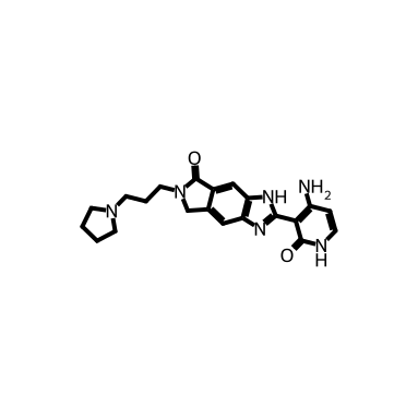 Nc1cc[nH]c(=O)c1-c1nc2cc3c(cc2[nH]1)C(=O)N(CCCN1CCCC1)C3